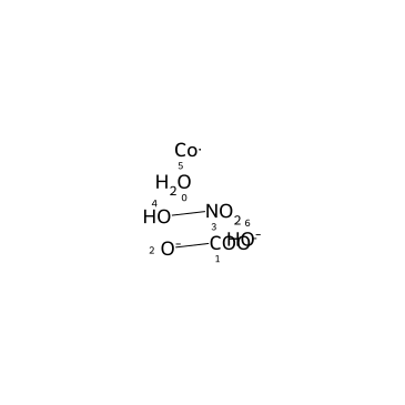 O.O=C([O-])[O-].O=[N+]([O-])O.[Co].[OH-]